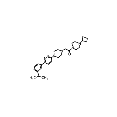 CC(C)c1cccc(-c2ccc(N3CCN(CC(=O)N4CCN(C5CCC5)CC4)CC3)nn2)c1